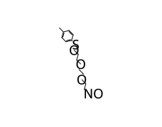 Cc1ccc(SOCCOCCOCCN=O)cc1